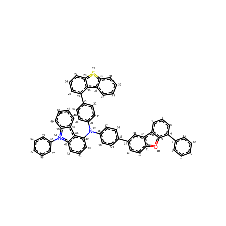 c1ccc(-c2cccc3c2oc2ccc(-c4ccc(N(c5ccc(-c6cccc7sc8ccccc8c67)cc5)c5cccc6c5c5ccccc5n6-c5ccccc5)cc4)cc23)cc1